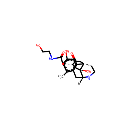 Cc1cc(O)cc2c1C[C@H]1NCC[C@@]23CC(=O)[C@@H](CC(=O)NCCO)C[C@@]13O